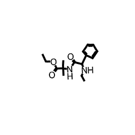 CCNC(C(=O)NC(C)(C)C(=O)OCC)c1ccccc1